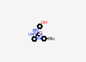 CC(C)(C)c1ccc2[nH]c(C3(C(=O)Nc4ccc(O)cc4)NNc4ccccc43)nc2c1